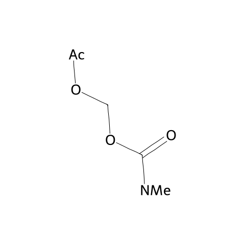 CNC(=O)OCOC(C)=O